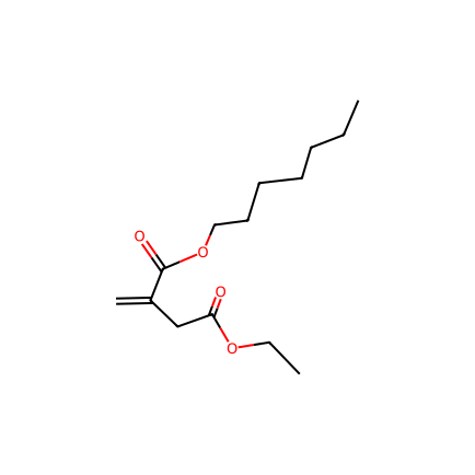 C=C(CC(=O)OCC)C(=O)OCCCCCCC